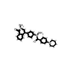 NN(C(=O)c1ccc(N2CCCCC2)cc1)c1ccc(-c2cn(N)c(=O)c3ccccc23)cc1